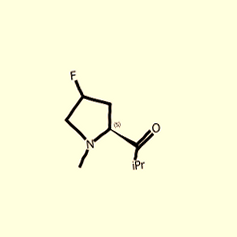 CC(C)C(=O)[C@@H]1CC(F)CN1C